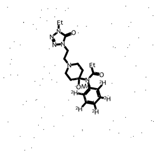 [2H]c1c([2H])c([2H])c(N(C(=O)CC)C2(OC)CCN(CCn3nnn(CC)c3=O)CC2)c([2H])c1[2H]